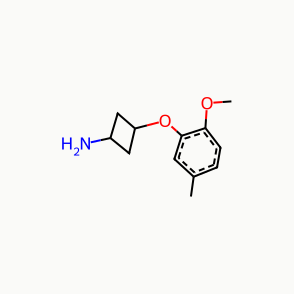 COc1ccc(C)cc1OC1CC(N)C1